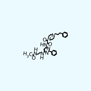 CC(=O)NCCNc1cc(NC(=O)C(=O)N2CCN(CCCc3ccccc3)CC2)nc(-c2ccccc2)n1